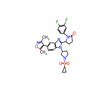 Cc1noc(C)c1-c1ccc2c(c1)nc(C1CCC(=O)N1c1ccc(F)c(F)c1)n2C1CCN(S(=O)(=O)C2CC2)C1